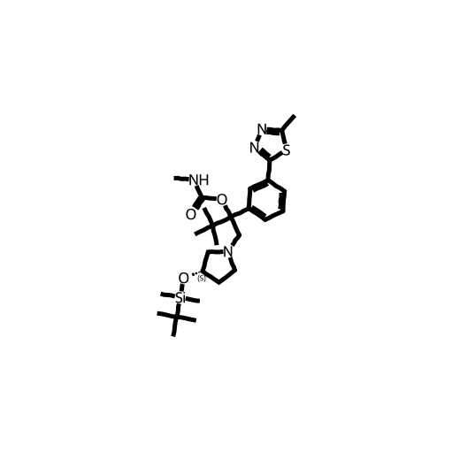 CNC(=O)OC(CN1CC[C@H](O[Si](C)(C)C(C)(C)C)C1)(c1cccc(-c2nnc(C)s2)c1)C(C)(C)C